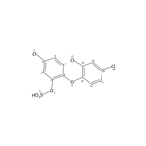 O=S(=O)(O)Oc1cc(Cl)ccc1Oc1ccc(Cl)cc1Cl